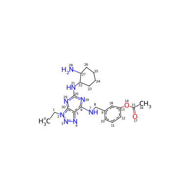 CCn1nnc2c(NCc3cccc(OC(C)=O)c3)nc(NC3CCCCC3N)nc21